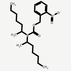 CCCCCC(C)N(C(=O)OCc1ccccc1[N+](=O)[O-])C(C)CCCCC